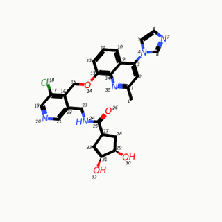 Cc1cc(-n2ccnc2)c2cccc(OCc3c(Cl)cncc3CNC(=O)C3C[C@@H](O)[C@@H](O)C3)c2n1